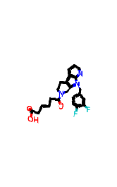 O=C(O)CCCCC(=O)N1CCc2c(n(Cc3ccc(F)c(F)c3)c3ncccc23)C1